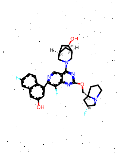 Oc1cc(-c2ncc3c(N4C[C@@H]5C[C@H](C4)[C@H](O)C5)nc(OC[C@@]45CCCN4C[C@H](F)C5)nc3c2F)c2ccc(F)cc2c1